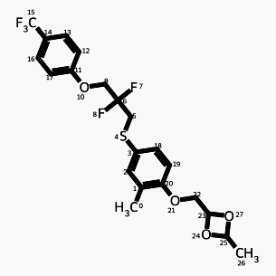 Cc1cc(SCC(F)(F)COc2ccc(C(F)(F)F)cc2)ccc1OCC1OC(C)O1